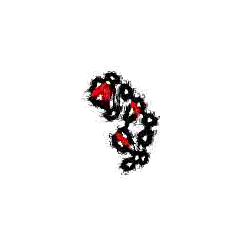 c1ccc(-c2cccc(N(c3cccc(-c4cccc(-c5ccc(-c6cccc(N(c7ccccc7-c7ccccc7)c7cc8ccccc8c8ccccc78)c6)cc5)c4)c3)c3c(-c4ccccc4)c4ccccc4c4ccccc34)c2)cc1